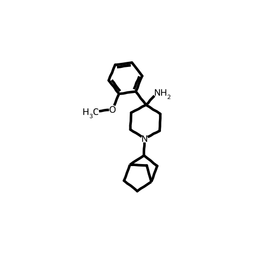 COc1ccccc1C1(N)CCN(C2CC3CCC2C3)CC1